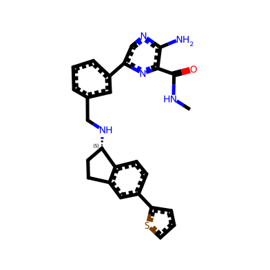 CNC(=O)c1nc(-c2cccc(CN[C@H]3CCc4cc(-c5cccs5)ccc43)c2)cnc1N